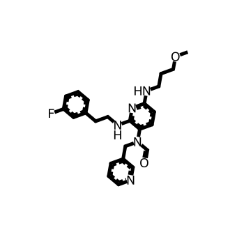 COCCCNc1ccc(N(C=O)Cc2cccnc2)c(NCCc2cccc(F)c2)n1